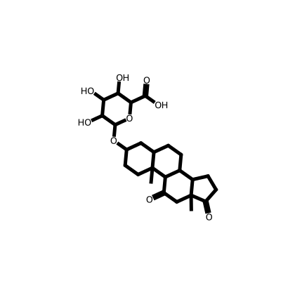 CC12CC(=O)C3C(CCC4CC(OC5OC(C(=O)O)C(O)C(O)C5O)CCC43C)C1CCC2=O